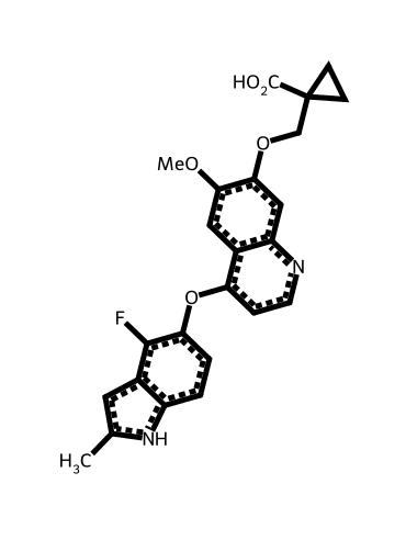 COc1cc2c(Oc3ccc4[nH]c(C)cc4c3F)ccnc2cc1OCC1(C(=O)O)CC1